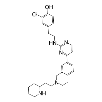 CCN(CCC1CCCCN1)Cc1cccc(-c2ccnc(NCCc3ccc(O)c(Cl)c3)n2)c1